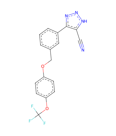 N#Cc1[nH]nnc1-c1cccc(COc2ccc(OC(F)(F)F)cc2)c1